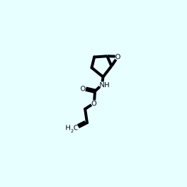 C=CCOC(=O)NC1CCC2OC12